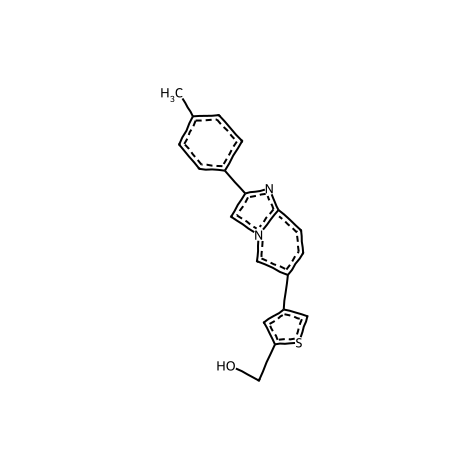 Cc1ccc(-c2cn3cc(-c4csc(CO)c4)ccc3n2)cc1